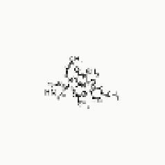 CC#CCN1c2c(nc(Oc3cccc(C)c3)n(C)c2=O)N(OC(=O)C(F)(F)F)C1N1CCNCC1